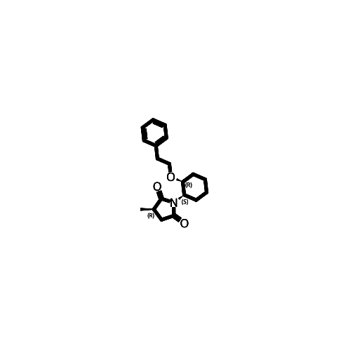 C[C@@H]1CC(=O)N([C@H]2CCCC[C@H]2OCCc2ccccc2)C1=O